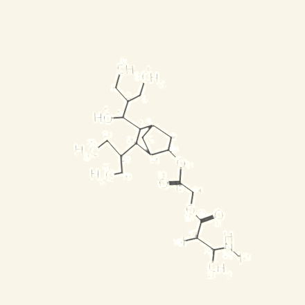 CCC(CC)C(O)C1C2CC(OC(=O)COC(=O)C(I)C(C)NI)C(C2)C1C(CC)CC